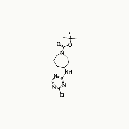 CC(C)(C)OC(=O)N1CCCC(Nc2ncnc(Cl)n2)CC1